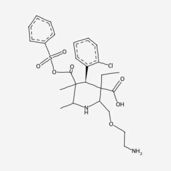 CCC1(C(=O)O)C(COCCN)NC(C)C(C)(C(=O)OS(=O)(=O)c2ccccc2)[C@H]1c1ccccc1Cl